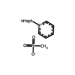 CCCCCCC[n+]1ccccc1.CS(=O)(=O)[O-]